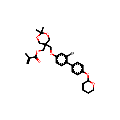 C=C(C)C(=O)OCC1(COc2ccc(-c3ccc(OC4CCCCO4)cc3)c(CC)c2)COC(C)(C)OC1